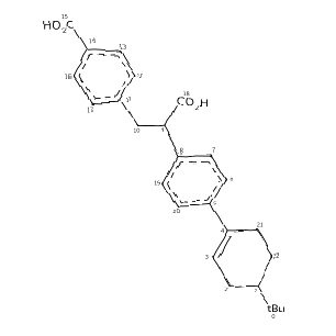 CC(C)(C)C1CC=C(c2ccc(C(Cc3ccc(C(=O)O)cc3)C(=O)O)cc2)CC1